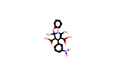 CC1=C(C(=O)O)C(c2cccc([N+](=O)[O-])c2)C(C(=O)O)C(C)(Oc2ccccc2)N1